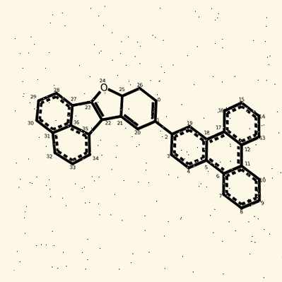 C1=C(c2ccc3c4ccccc4c4ccccc4c3c2)C=C2C3=C(OC2C1)c1cccc2cccc3c12